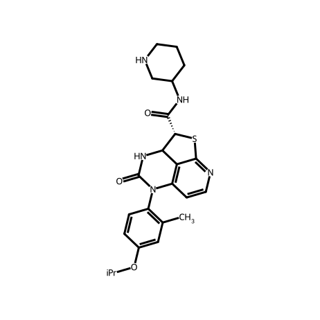 Cc1cc(OC(C)C)ccc1N1C(=O)NC2c3c1ccnc3S[C@H]2C(=O)NC1CCCNC1